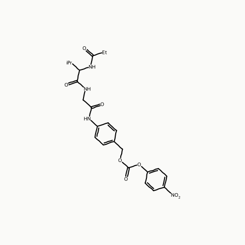 CCC(=O)NC(C(=O)NCC(=O)Nc1ccc(COC(=O)Oc2ccc([N+](=O)[O-])cc2)cc1)C(C)C